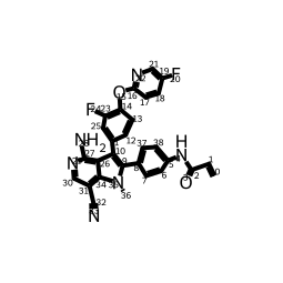 C=CC(=O)Nc1ccc(-c2c(-c3ccc(Oc4ccc(F)cn4)c(F)c3)c3c(N)ncc(C#N)c3n2C)cc1